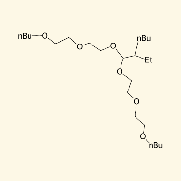 CCCCOCCOCCOC(OCCOCCOCCCC)C(CC)CCCC